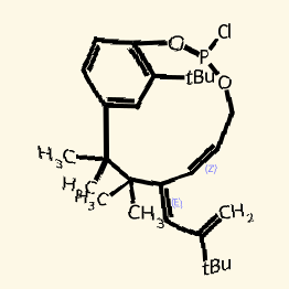 C=C(/C=C1\C=C/COP(Cl)Oc2ccc(cc2C(C)(C)C)C(C)(C)C1(C)C)C(C)(C)C